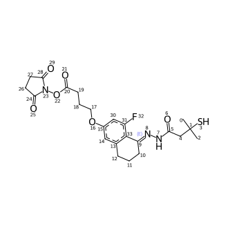 CC(C)(S)CC(=O)N/N=C1\CCCc2cc(OCCCC(=O)ON3C(=O)CCC3=O)cc(F)c21